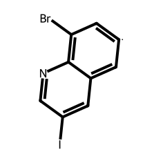 Brc1c[c]cc2cc(I)cnc12